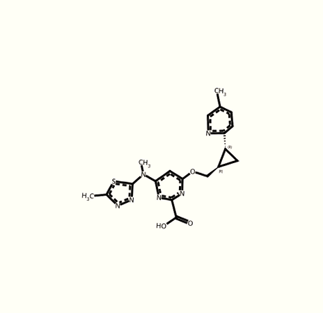 Cc1ccc([C@@H]2C[C@H]2COc2cc(N(C)c3nnc(C)s3)nc(C(=O)O)n2)nc1